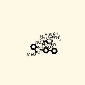 COC(=O)c1cccc([N+](=O)[O-])c1NCc1ccc(-c2ccccc2S(=O)(=O)N(CO[Si](C)(C)C)c2onc(C)c2C)cc1